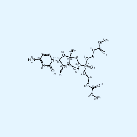 CC(C)OC(=O)OCOP(=O)(OCOC(=O)OC(C)C)OC[C@@]1(C(C)C)O[C@@H](n2ccc(N)nc2=O)[C@H](F)[C@@H]1O